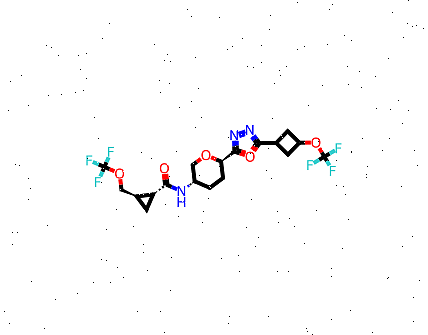 O=C(N[C@H]1CC[C@H](c2nnc(C3CC(OC(F)(F)F)C3)o2)OC1)[C@@H]1C[C@H]1COC(F)(F)F